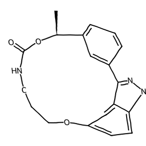 C[C@@H]1OC(=O)NCCCOc2ccc3[nH]nc(c3c2)-c2cccc1c2